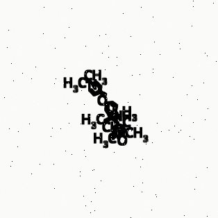 Cc1c(-c2[nH]c3ccc(OCC4CCN(C(C)C)CC4)cc3c2C(C)C)cn(C)c(=O)c1C